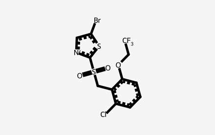 O=S(=O)(Cc1c(Cl)cccc1OCC(F)(F)F)c1ncc(Br)s1